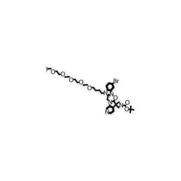 CC(C)(C)OC(=O)N1CC2(C1)C(=O)N(Cc1nc3cc(Br)ccc3n1CCCCOCCOCCOCCOCCOCI)c1cnccc12